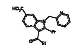 CCC(=O)c1c(C(C)C)n(Cc2ccccn2)c2cc(C(=O)O)ccc12